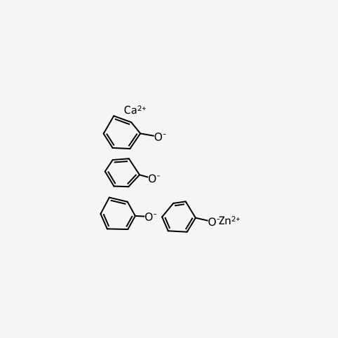 [Ca+2].[O-]c1ccccc1.[O-]c1ccccc1.[O-]c1ccccc1.[O-]c1ccccc1.[Zn+2]